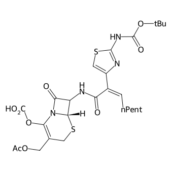 CCCCC/C=C(\C(=O)NC1C(=O)N2C(OC(=O)O)=C(COC(C)=O)CS[C@@H]12)c1csc(NC(=O)OC(C)(C)C)n1